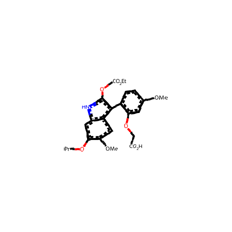 CCOC(=O)Oc1[nH]c2cc(OC(C)C)c(OC)cc2c1-c1ccc(OC)cc1OCC(=O)O